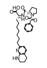 O=C(O)[C@@H](CCCCCCCc1ccc2c(n1)NCCC2)NC(=O)[C@@H]1CCCN1S(=O)(=O)c1ccccc1